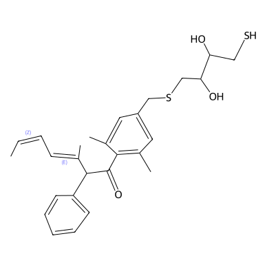 C/C=C\C=C(/C)C(C(=O)c1c(C)cc(CSCC(O)C(O)CS)cc1C)c1ccccc1